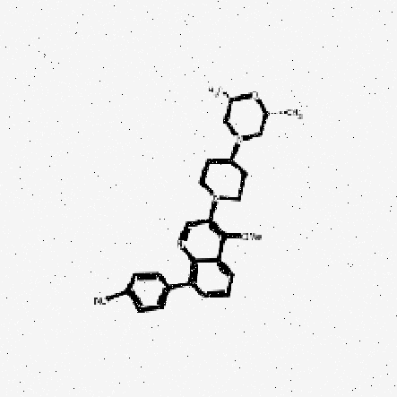 COc1c(N2CCC(N3C[C@@H](C)O[C@@H](C)C3)CC2)cnc2c(-c3ccc(C#N)cc3)cccc12